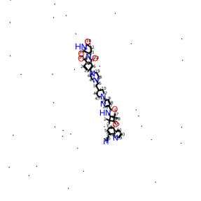 CC1(C)C(NC(=O)c2ccc(N3CCC(CCN4CCN(c5ccc6c(c5)C(=O)N(C5CCC(=O)NC5=O)C6=O)CC4)CC3)nc2)C(C)(C)C1Oc1ccc(C#N)c2ncccc12